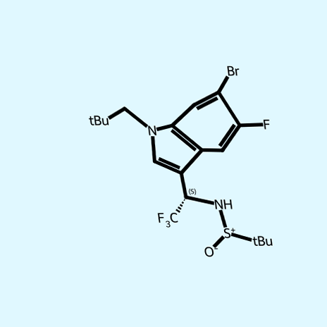 CC(C)(C)Cn1cc([C@H](N[S+]([O-])C(C)(C)C)C(F)(F)F)c2cc(F)c(Br)cc21